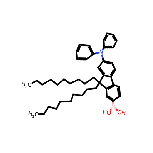 CCCCCCCCCCC1(CCCCCCCCCC)c2cc(B(O)O)ccc2-c2ccc(N(c3ccccc3)c3ccccc3)cc21